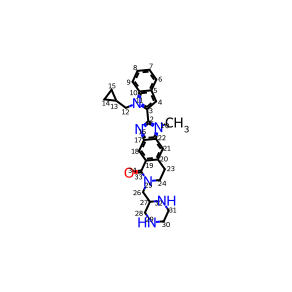 Cn1c(-c2cc3ccccc3n2CC2CC2)nc2cc3c(cc21)CCN(CC1CNCCN1)C3=O